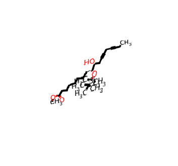 CCC#CCC#CCC(O)[C@@H](CCCCCCCC(=O)OC)O[Si](C)(C)C(C)(C)C